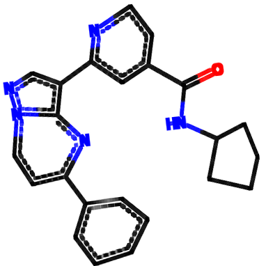 O=C(NC1CCCC1)c1ccnc(-c2cnn3ccc(-c4ccccc4)nc23)c1